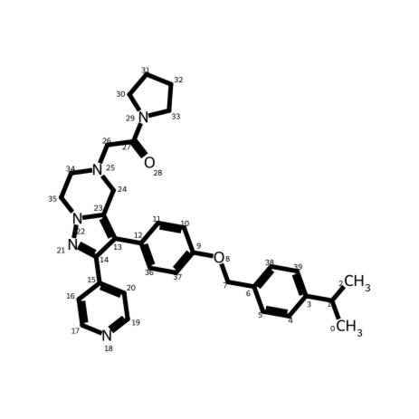 CC(C)c1ccc(COc2ccc(-c3c(-c4ccncc4)nn4c3CN(CC(=O)N3CCCC3)CC4)cc2)cc1